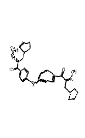 O=C(/C(CC1CCCC1)=N\O)c1ccc(Sc2ccc(C(=O)/C(CC3CCCC3)=N/O)cc2)cc1